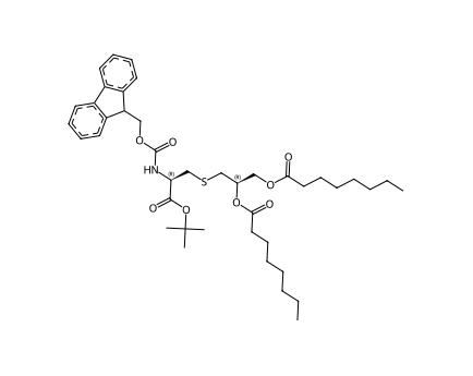 CCCCCCCC(=O)OC[C@H](CSC[C@H](NC(=O)OCC1c2ccccc2-c2ccccc21)C(=O)OC(C)(C)C)OC(=O)CCCCCCC